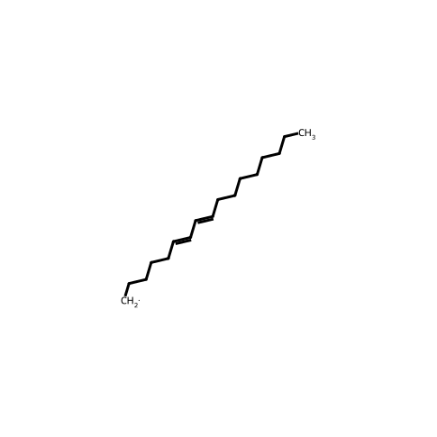 [CH2]CCCCC=CC=CCCCCCCCC